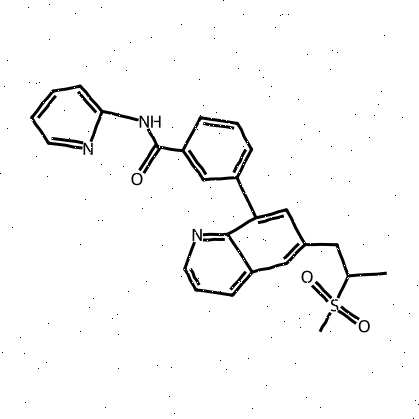 CC(Cc1cc(-c2cccc(C(=O)Nc3ccccn3)c2)c2ncccc2c1)S(C)(=O)=O